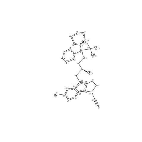 C[C@H](CO[Si](c1ccccc1)(c1ccccc1)C(C)(C)C)Cn1c2c(c3ccc(Br)cc31)C(C#N)CC2